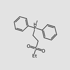 CCS(=O)(=O)CC[PH](C)(c1ccccc1)c1ccccc1